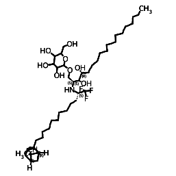 CCCCCCCCCCCCCC[C@@H](O)[C@@H](O)[C@H](COC1OC(CO)C(O)C(O)C1O)N[C@@H](CCCCCCCCCCC1=CC[C@H]2C[C@@H]1C2(C)C)C(F)(F)F